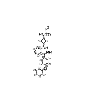 C=CC(=O)NC1CC(Nc2ncncc2C(=N)c2ccc(Oc3ccccc3)cc2)C1